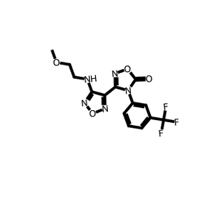 COCCNc1nonc1-c1noc(=O)n1-c1cccc(C(F)(F)F)c1